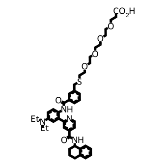 CCN(CC)c1ccc(NC(=O)c2cccc(CSCCOCCOCCOCCOCCC(=O)O)c2)c(-c2cc(C(=O)NC3CCCc4ccccc43)ccn2)c1